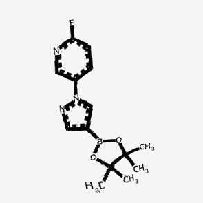 CC1(C)OB(c2cnn(-c3ccc(F)nc3)c2)OC1(C)C